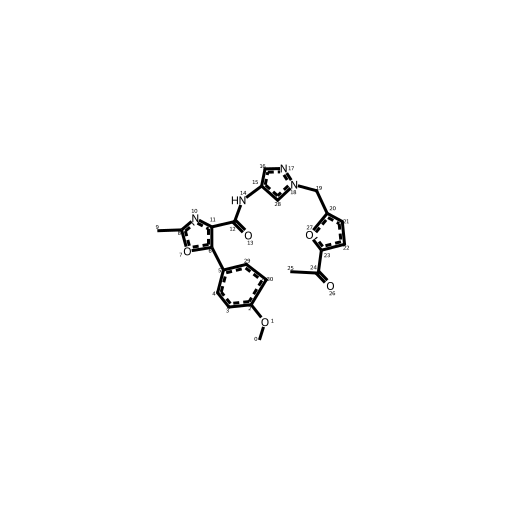 COc1ccc(-c2oc(C)nc2C(=O)Nc2cnn(Cc3ccc(C(C)=O)o3)c2)cc1